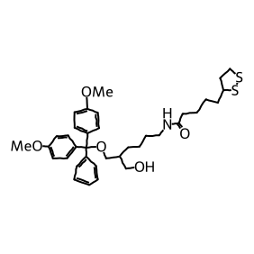 COc1ccc(C(OCC(CO)CCCCNC(=O)CCCCC2CCSS2)(c2ccccc2)c2ccc(OC)cc2)cc1